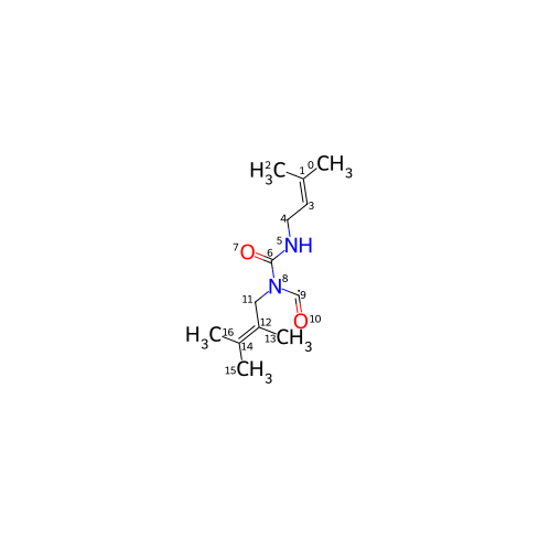 CC(C)=CCNC(=O)N([C]=O)CC(C)=C(C)C